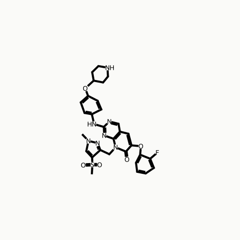 Cn1cc(S(C)(=O)=O)c(Cn2c(=O)c(Oc3ccccc3F)cc3cnc(Nc4ccc(OC5CCNCC5)cc4)nc32)n1